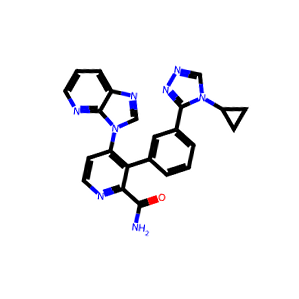 NC(=O)c1nccc(-n2cnc3cccnc32)c1-c1cccc(-c2nncn2C2CC2)c1